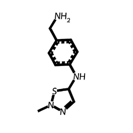 CN1N=CC(Nc2ccc(CN)cc2)S1